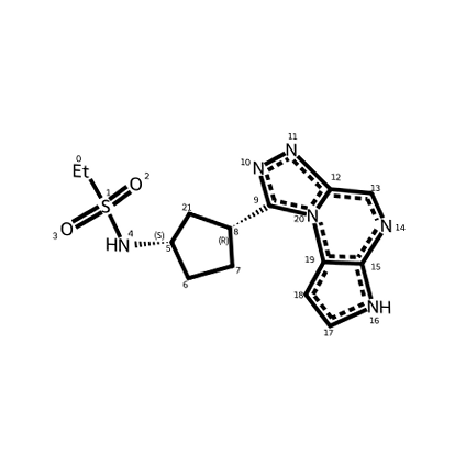 CCS(=O)(=O)N[C@H]1CC[C@@H](c2nnc3cnc4[nH]ccc4n23)C1